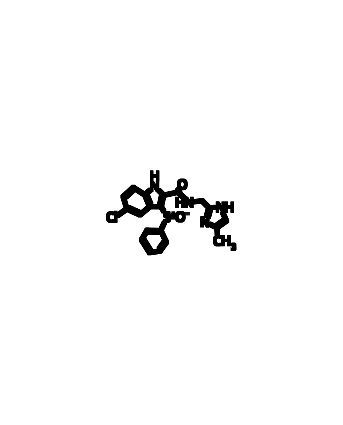 Cc1c[nH]c(CNC(=O)c2[nH]c3ccc(Cl)cc3c2[S+]([O-])c2ccccc2)n1